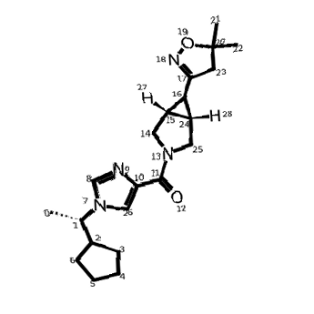 C[C@@H](C1CCCC1)n1cnc(C(=O)N2C[C@@H]3C(C4=NOC(C)(C)C4)[C@@H]3C2)c1